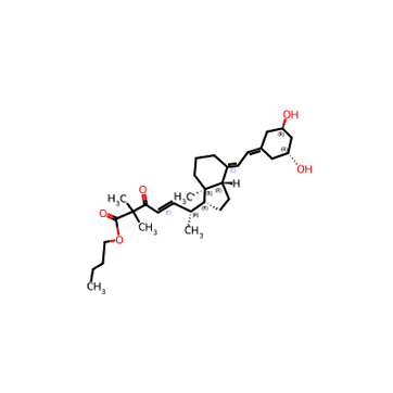 CCCCOC(=O)C(C)(C)C(=O)/C=C/[C@@H](C)[C@H]1CC[C@H]2/C(=C/C=C3C[C@@H](O)C[C@H](O)C3)CCC[C@]12C